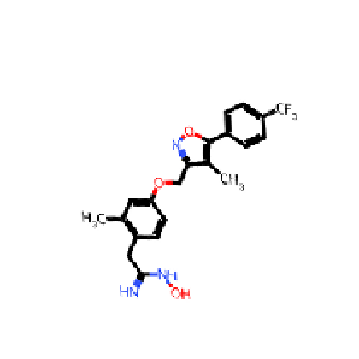 Cc1cc(OCc2noc(-c3ccc(C(F)(F)F)cc3)c2C)ccc1CC(=N)NO